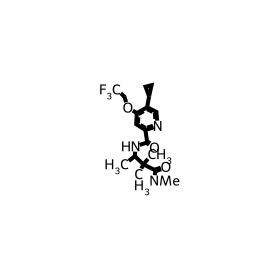 CNC(=O)C(C)(C)C(C)NC(=O)c1cc(OCC(F)(F)F)c(C2CC2)cn1